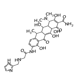 CC1c2ccc(NC(=O)CNCc3ncc[nH]3)c(O)c2C(=O)C2=C(O)[C@]3(O)C(=O)C(C(N)=O)=C(O)[C@@H](N(C)C)C3C(O)C21